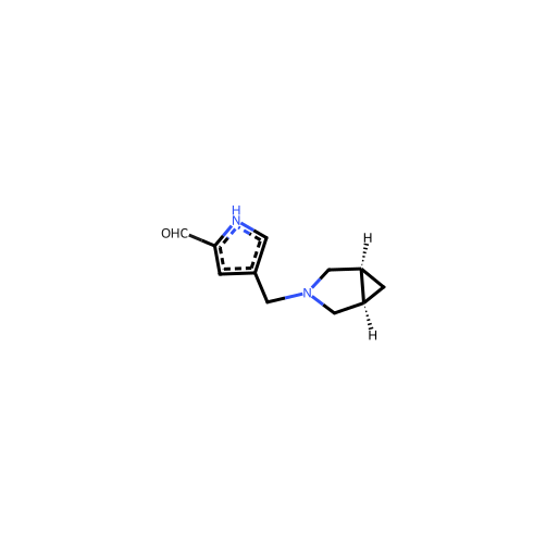 O=Cc1cc(CN2C[C@H]3C[C@H]3C2)c[nH]1